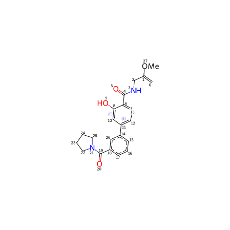 C=C(CNC(=O)C(=C)/C(O)=C\C(=C/C)c1cccc(C(=O)N2CCCC2)c1)OC